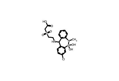 CN1c2ccccc2C(NCCS(=O)(=O)CC(=O)O)c2ccc(Cl)cc2S1(O)O